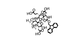 CC(C)[C@H](NC(=O)[C@H](CCC(=O)O)NC(=O)[C@H](CC(=O)O)NC(=O)OCC1c2ccccc2-c2ccccc21)C(=O)N[C@@H](CC(=O)O)C(=O)O